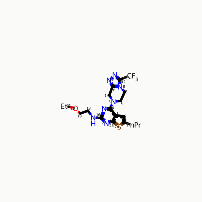 CCCc1cc2c(N3CCn4c(nnc4C(F)(F)F)C3)nc(NCCOCC)nc2s1